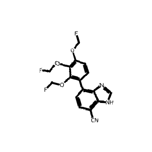 N#Cc1ccc(-c2ccc(OCF)c(OCF)c2OCF)c2nc[nH]c12